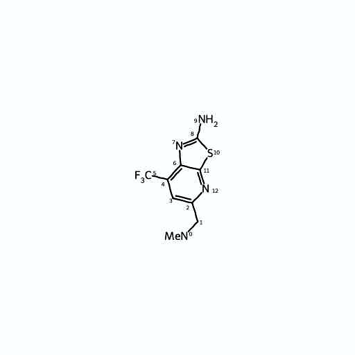 CNCc1cc(C(F)(F)F)c2nc(N)sc2n1